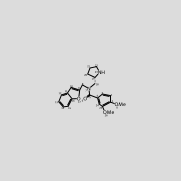 COc1ccc(C(=O)N(Cc2cc3ccccc3o2)C[C@@H]2CCCN2)cc1OC